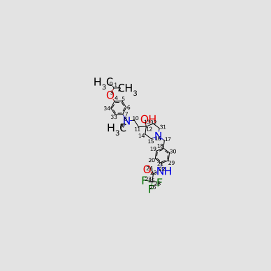 CC(C)Oc1ccc(N(C)CCC2(O)CCN(Cc3ccc(NC(=O)C(F)(F)F)cc3)CC2)cc1